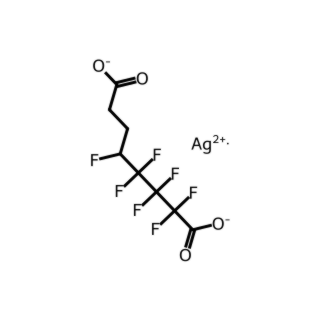 O=C([O-])CCC(F)C(F)(F)C(F)(F)C(F)(F)C(=O)[O-].[Ag+2]